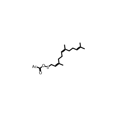 CC(=O)C(=O)OSCC=C(C)CCC=C(C)CCC=C(C)C